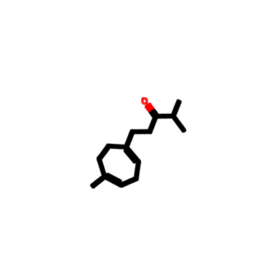 CC1=CCC=C(CCC(=O)C(C)C)CC1